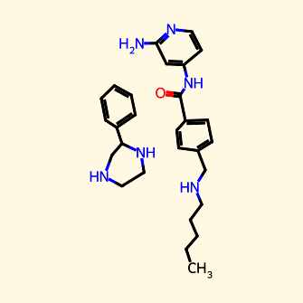 CCCCCNCc1ccc(C(=O)Nc2ccnc(N)c2)cc1.c1ccc(C2CNCCN2)cc1